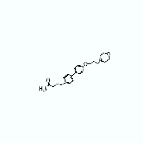 NC(=O)CCCc1ccc(-c2ccc(OCCCN3CCOCC3)cc2)cc1